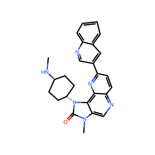 CN[C@H]1CC[C@H](n2c(=O)n(C)c3cnc4ccc(-c5cnc6ccccc6c5)nc4c32)CC1